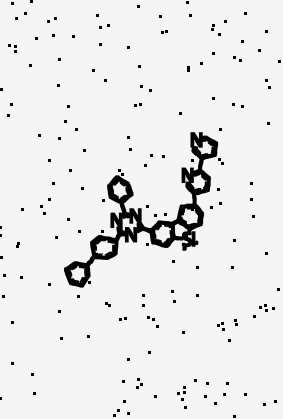 C[Si]1(C)c2ccc(-c3ccc(-c4cccnc4)nc3)cc2-c2cc(-c3nc(-c4ccccc4)nc(-c4ccc(-c5ccccc5)cc4)n3)ccc21